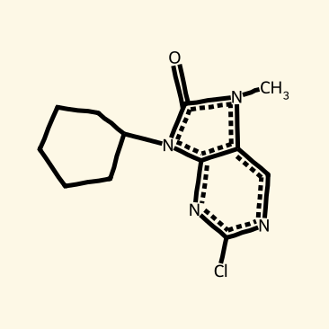 Cn1c(=O)n(C2CCCCC2)c2nc(Cl)ncc21